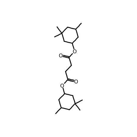 CC1CC(OC(=O)CCC(=O)OC2CC(C)CC(C)(C)C2)CC(C)(C)C1